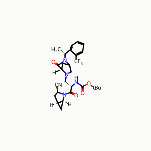 C[C@H](c1ccccc1C(F)(F)F)N1C(=O)[C@@H]2CC1CN2C[C@H](NC(=O)OC(C)(C)C)C(=O)N1[C@H](C#N)C[C@@H]2C[C@@H]21